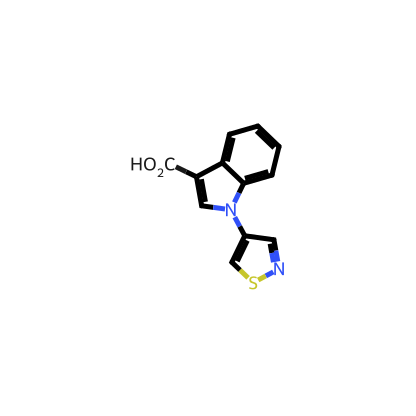 O=C(O)c1cn(-c2cnsc2)c2ccccc12